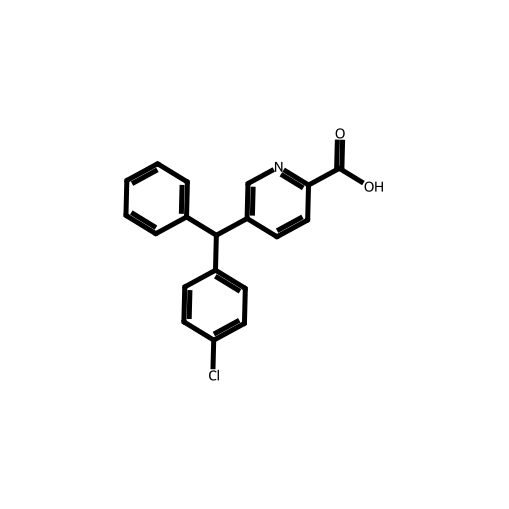 O=C(O)c1ccc(C(c2ccccc2)c2ccc(Cl)cc2)cn1